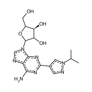 CC(C)n1cc(-c2nc(N)c3ncn(C4OC(CO)[C@@H](O)C4O)c3n2)cn1